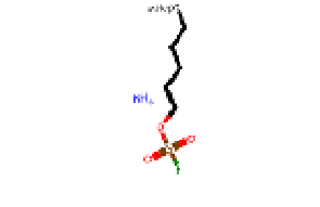 CCCCCCCCCCCCOS(=O)(=O)F.N